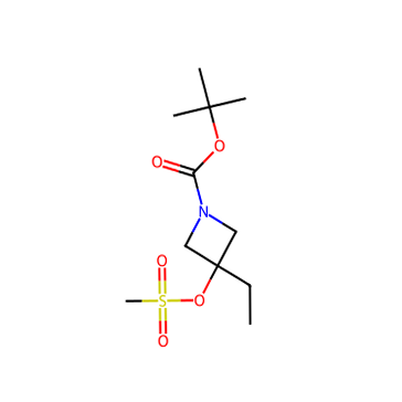 CCC1(OS(C)(=O)=O)CN(C(=O)OC(C)(C)C)C1